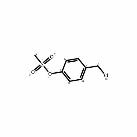 CS(=O)(=O)Oc1ccc(CCl)cc1